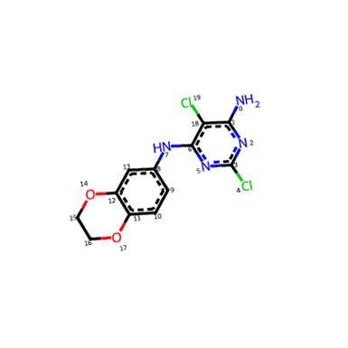 Nc1nc(Cl)nc(Nc2ccc3c(c2)OCCO3)c1Cl